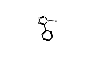 CC(C)(C)n1nnnc1-c1cc[c]cc1